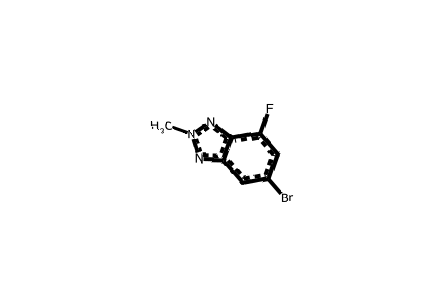 Cn1nc2cc(Br)cc(F)c2n1